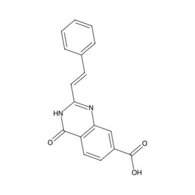 O=C(O)c1ccc2c(=O)[nH]c(C=Cc3ccccc3)nc2c1